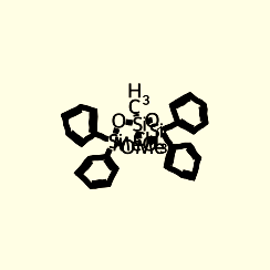 CO[Si](O[Si](C)(C)O[Si](OC)(c1ccccc1)c1ccccc1)(c1ccccc1)c1ccccc1